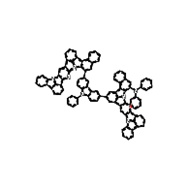 c1ccc(N(c2ccccc2)c2cc3ccccc3c3c4cc(-c5ccc6c(c5)c5cc(-c7cc8ccccc8c8c9cccc%10c%11cc%12c(nc%11n(c78)c%109)c7cccc8c9ccccc9n%12c87)ccc5n6-c5ccccc5)cc5c6cc7c(nc6n(c23)c54)c2cccc3c4ccccc4n7c32)cc1